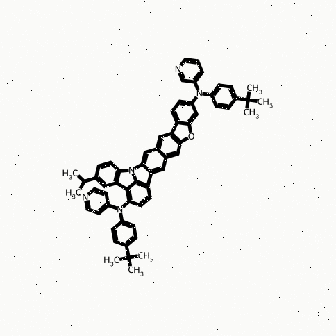 CC(C)c1ccc2c(c1)c1c(N(c3ccncc3)c3ccc(C(C)(C)C)cc3)ccc3c4cc5cc6oc7cc(N(c8ccc(C(C)(C)C)cc8)c8cccnc8)ccc7c6cc5cc4n2c31